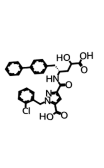 O=C(N[C@H](Cc1ccc(-c2ccccc2)cc1)CC(O)C(=O)O)c1cc(C(=O)O)n(Cc2ccccc2Cl)n1